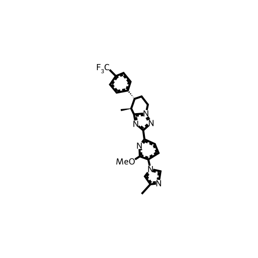 COc1nc(-c2nc3n(n2)CC[C@@H](c2ccc(C(F)(F)F)cc2)[C@@H]3C)ccc1-n1cnc(C)c1